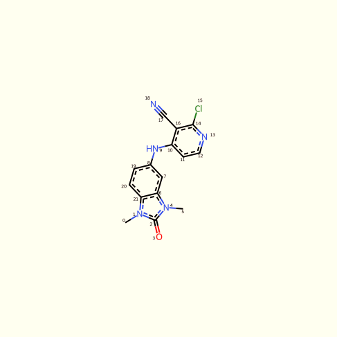 Cn1c(=O)n(C)c2cc(Nc3ccnc(Cl)c3C#N)ccc21